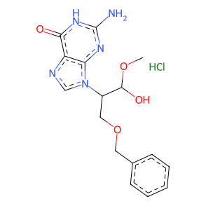 COC(O)C(COCc1ccccc1)n1cnc2c(=O)[nH]c(N)nc21.Cl